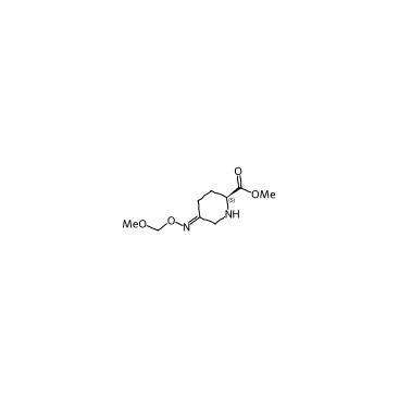 COCON=C1CC[C@@H](C(=O)OC)NC1